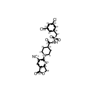 N#Cc1cc2c(nc1N1CCC(C(=O)NS(=O)(=O)Cc3cc(Cl)cc(Cl)c3)CC1)COC2=O